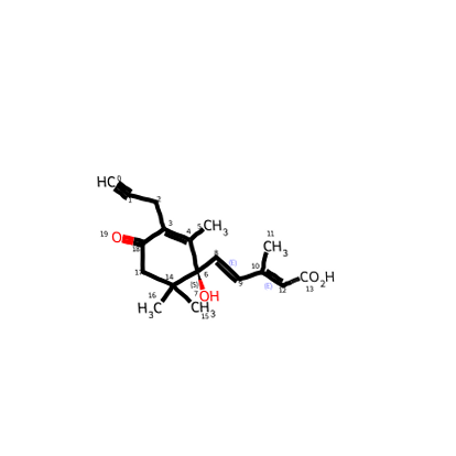 C#CCC1=C(C)[C@](O)(/C=C/C(C)=C/C(=O)O)C(C)(C)CC1=O